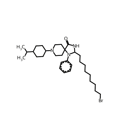 CC(C)C1CCC(N2CCC3(CC2)C(=O)NC(CCCCCCCCCBr)N3c2ccccc2)CC1